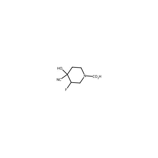 N#CC1(O)CCN(C(=O)O)CC1F